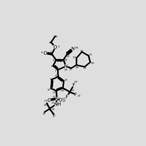 CCOC(=O)c1cc(-c2ccc(S(=O)(=O)NC(C)(C)C)c(C(F)(F)F)c2)n(CC2CCCCC2)c1C#N